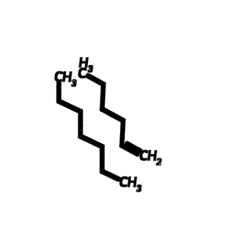 C=CCCCC.CCCCCCC